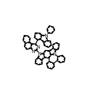 c1ccc(-n2c3ccccc3c3c(-c4nc(-n5c6ccccc6c6c7c8c(cc65)c5ccccc5n8-c5ccccc5-c5ccccc5-7)nc5ccc6ccccc6c45)cccc32)cc1